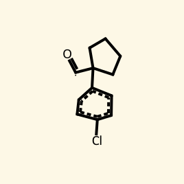 O=[C]C1(c2ccc(Cl)cc2)CCCC1